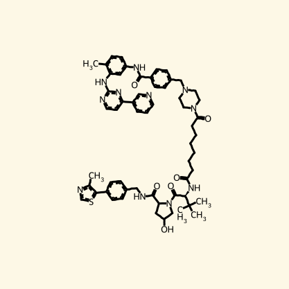 Cc1ccc(NC(=O)c2ccc(CN3CCN(C(=O)CCCCCCC(=O)N[C@H](C(=O)N4CC(O)CC4C(=O)NCc4ccc(-c5scnc5C)cc4)C(C)(C)C)CC3)cc2)cc1Nc1nccc(-c2cccnc2)n1